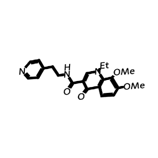 CCn1cc(C(=O)NCCc2ccncc2)c(=O)c2ccc(OC)c(OC)c21